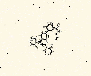 C=CCN(C)C(=O)c1cc(-c2ccc3c(N4CCOC[C@@H]4C)nc(N4CCOC[C@@H]4C)nc3n2)ccc1F